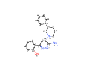 Nc1nnc(-c2ccccc2O)cc1N1CCCC(c2ccccc2)C1